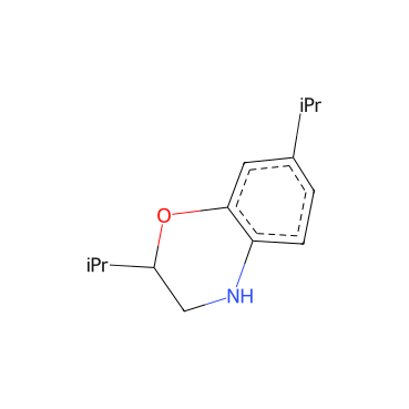 CC(C)c1ccc2c(c1)OC(C(C)C)CN2